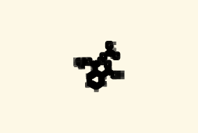 O=C(O)c1ccccc1C(=O)O.O=C([O-])[O-].[K+].[K+]